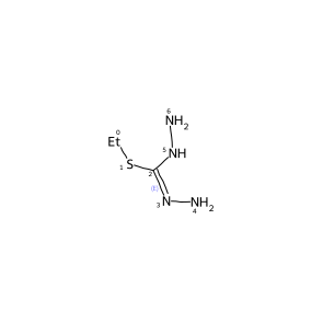 CCS/C(=N/N)NN